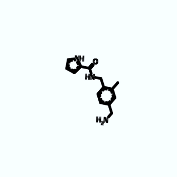 Cc1cc(CN)ccc1CNC(=O)c1ccc[nH]1